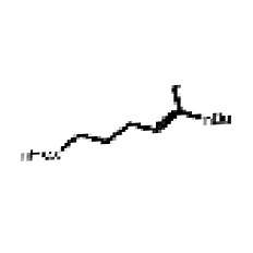 [CH2]C(=CCCCCCCCCC)CCCC